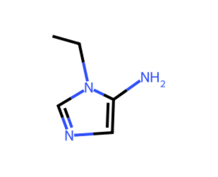 CCn1cncc1N